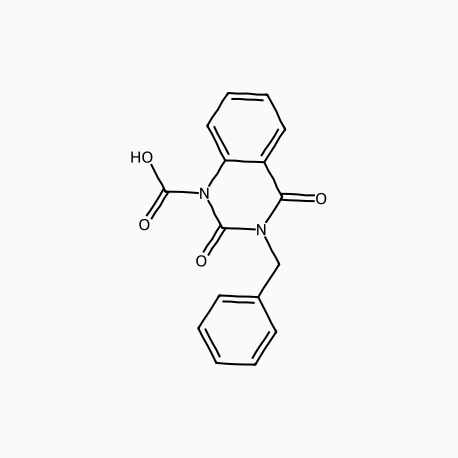 O=C(O)n1c(=O)n(Cc2ccccc2)c(=O)c2ccccc21